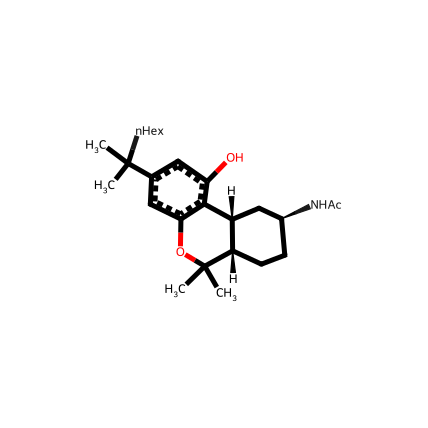 CCCCCCC(C)(C)c1cc(O)c2c(c1)OC(C)(C)[C@H]1CC[C@H](NC(C)=O)C[C@@H]21